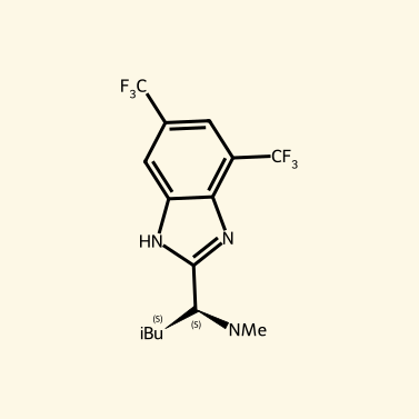 CC[C@H](C)[C@H](NC)c1nc2c(C(F)(F)F)cc(C(F)(F)F)cc2[nH]1